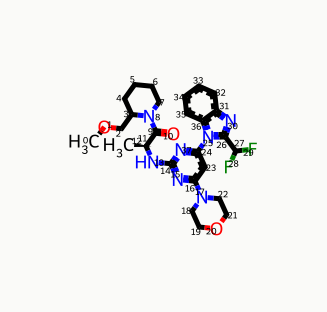 COCC1CCCCN1C(=O)[C@H](C)Nc1nc(N2CCOCC2)cc(-n2c(C(F)F)nc3ccccc32)n1